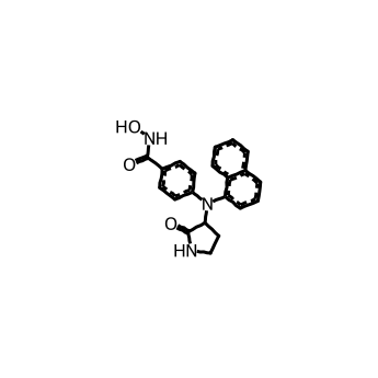 O=C(NO)c1ccc(N(c2cccc3ccccc23)C2CCNC2=O)cc1